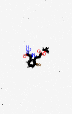 CC(C)(C)OC(=O)CC1N=C(C(N)=O)c2cccc(Br)c21